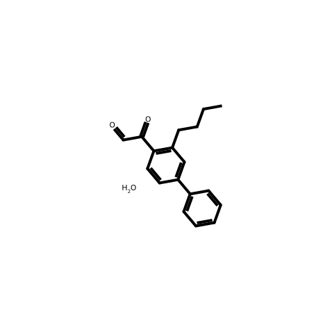 CCCCc1cc(-c2ccccc2)ccc1C(=O)C=O.O